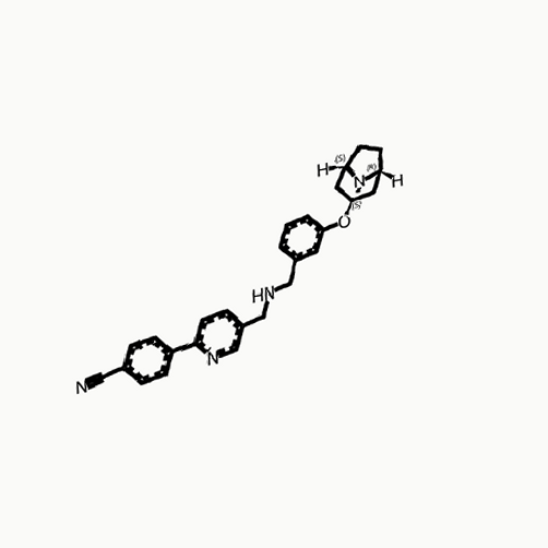 CN1[C@@H]2CC[C@H]1C[C@H](Oc1cccc(CNCc3ccc(-c4ccc(C#N)cc4)nc3)c1)C2